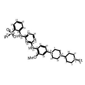 CCN1CCC(N2CCN(c3ccc(Nc4ncnc(Nc5ccccc5S(=O)(=O)C(C)C)n4)c(OC)c3)CC2)CC1